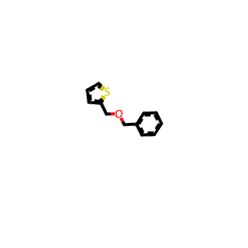 c1ccc(COCc2cccs2)cc1